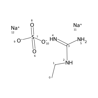 CCNC(=N)N.O=S(=O)([O-])[O-].[Na+].[Na+]